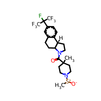 C[S+]([O-])N1CCC(C)(C(=O)N2CC[C@H]3c4ccc(C(F)(C(F)(F)F)C(F)(F)F)cc4CCC32)CC1